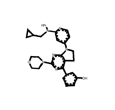 CCCN(CC1CC1)c1cc(N2CCc3c(-c4cccc(O)c4)nc(N4CCOCC4)nc32)ccn1